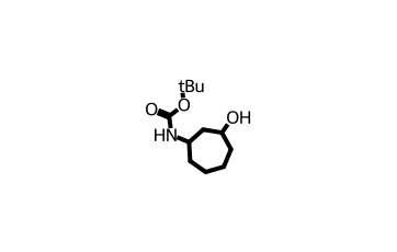 CC(C)(C)OC(=O)NC1CCCCC(O)C1